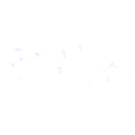 CC1(C)OB(c2cc(Cl)c(C(=O)Nc3cnc(N4N=CCN4)c(C(F)(F)F)c3)cc2F)OC1(C)C